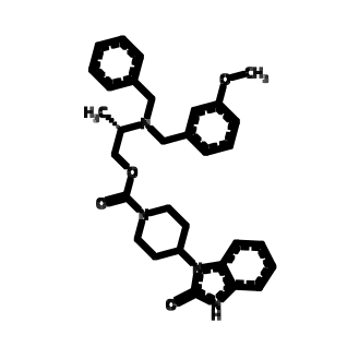 COc1cccc(CN(Cc2ccccc2)[C@@H](C)COC(=O)N2CCC(n3c(=O)[nH]c4ccccc43)CC2)c1